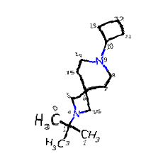 CC(C)(C)N1CC2(CCN(C3CCC3)CC2)C1